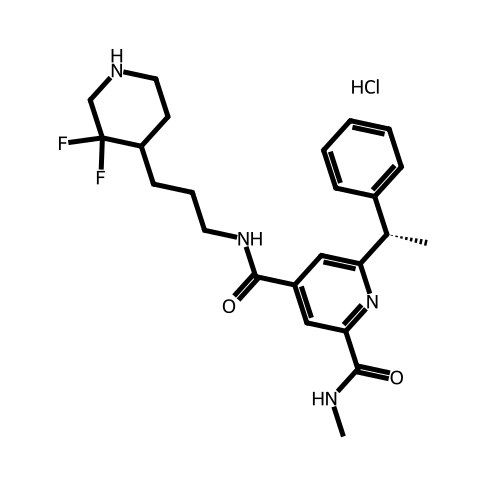 CNC(=O)c1cc(C(=O)NCCCC2CCNCC2(F)F)cc([C@@H](C)c2ccccc2)n1.Cl